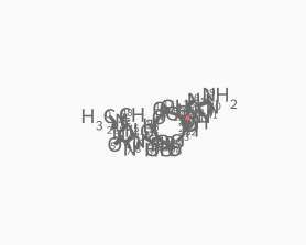 Cc1cn2c(=O)c3ncn([C@@H]4O[C@@H]5COP(=O)(O)O[C@@H]6[C@H](O)[C@@H](COP(=O)(O)O[C@H]5[C@H]4O)O[C@H]6n4cnc5c(N)ncnc54)c3nc2n1C